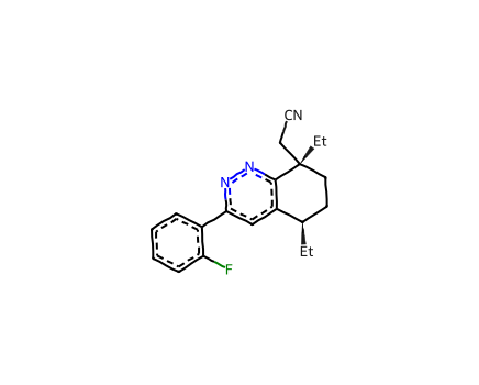 CC[C@@H]1CC[C@@](CC)(CC#N)c2nnc(-c3ccccc3F)cc21